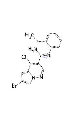 CCc1ccccc1/N=C(\N)c1cnn2cc(Br)cc2c1Cl